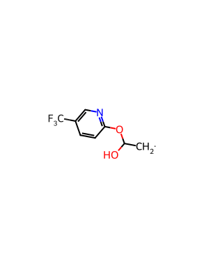 [CH2]C(O)Oc1ccc(C(F)(F)F)cn1